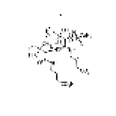 CC(C)(CO)[C@@H](O)C(=O)NCCCC(=O)O.CC(C)(CO)[C@@H](O)C(=O)NCCCC(=O)O.[CaH2].[N-]=[N+]=[N-]